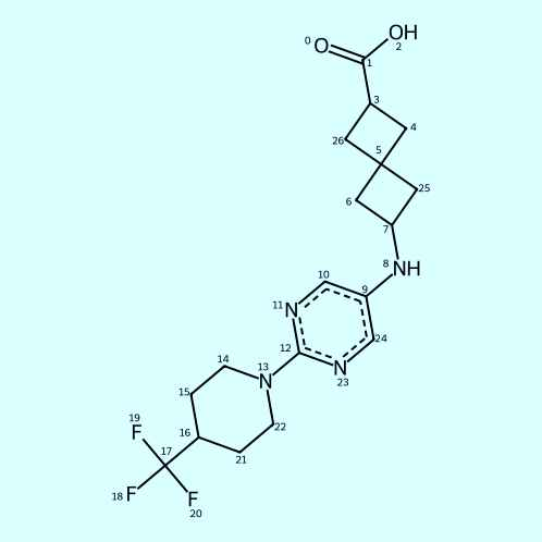 O=C(O)C1CC2(CC(Nc3cnc(N4CCC(C(F)(F)F)CC4)nc3)C2)C1